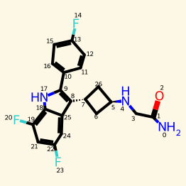 NC(=O)CN[C@H]1C[C@H](c2c(-c3ccc(F)cc3)[nH]c3c(F)cc(F)cc32)C1